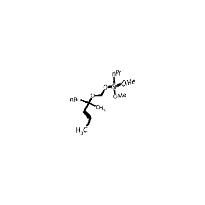 CC=CC(C)(CCCC)OCO[Si](CCC)(OC)OC